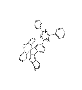 c1ccc(-c2nc(-c3ccccc3)nc(-c3ccc4c(c3)C3(c5ccccc5Oc5ccccc53)c3ccc5sccc5c3-4)n2)cc1